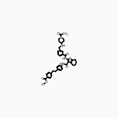 CC(=O)N1CCC(NCc2cccc(C(=O)Nc3sc4c(c3C(=O)Nc3ccc(CCc5ccc(C(=O)OCl)cc5)cc3)CCCC4)c2)CC1